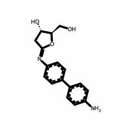 Nc1ccc(-c2ccc(/N=C3/C[C@H](O)[C@@H](CO)O3)cc2)cc1